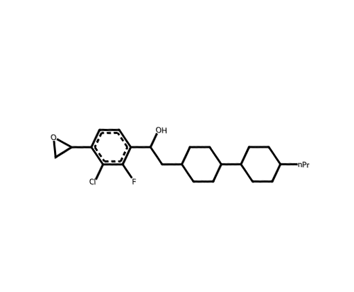 CCCC1CCC(C2CCC(CC(O)c3ccc(C4CO4)c(Cl)c3F)CC2)CC1